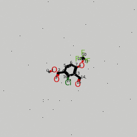 COC(=O)c1ccc(OC(F)(F)F)c(C=O)c1Cl